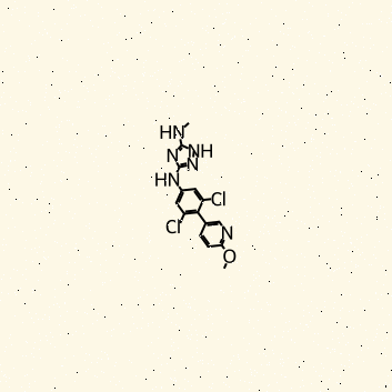 CNc1nc(Nc2cc(Cl)c(-c3ccc(OC)nc3)c(Cl)c2)n[nH]1